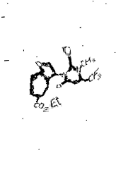 CCOC(=O)c1ccc2occ(-n3c(=O)cc(C(F)(F)F)n(C)c3=O)c2c1